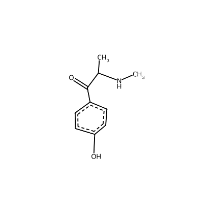 CNC(C)C(=O)c1ccc(O)cc1